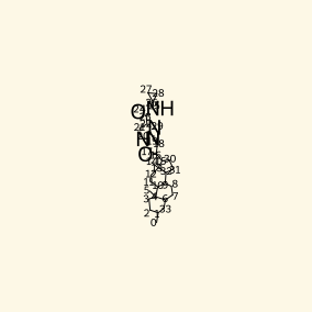 CC1CCC2(C)C(CCC3C2CCC2(C)C(C(=O)Cn4ncc(C(=O)NC5CC5)n4)CCC32)C1